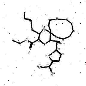 CCCCC1NC2(CCCCCCCCC2)C(C(=O)C2CC=C(C(N)O)N2)CC1C(=O)OCC